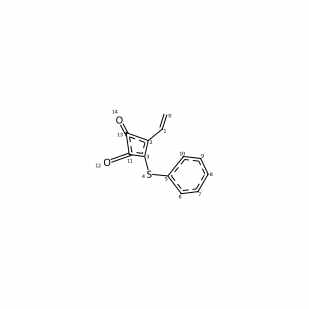 C=Cc1c(Sc2ccccc2)c(=O)c1=O